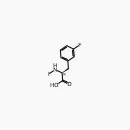 O=C(O)[C@H](Cc1cccc(F)c1)NI